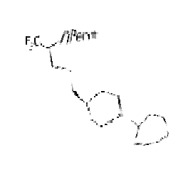 CCCCCC(CCC[C@H]1CC[C@H](C2CCCCC2)CC1)C(F)(F)F